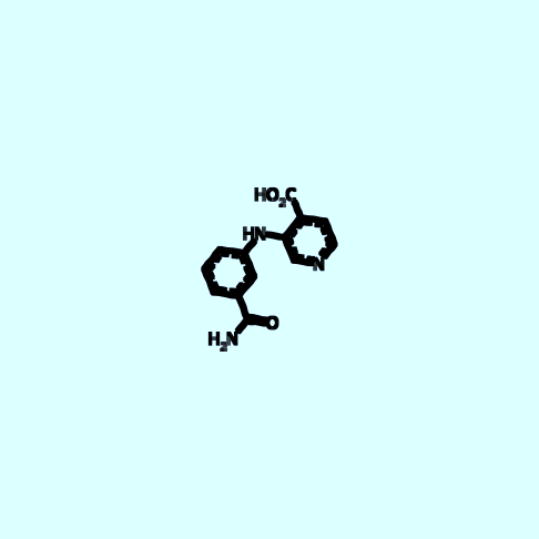 NC(=O)c1cccc(Nc2cnccc2C(=O)O)c1